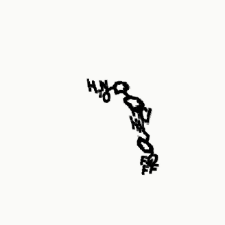 Cl.NC(=O)c1cccc(-c2ccc(CNCc3cccc(OC(F)(F)F)c3)cc2)c1